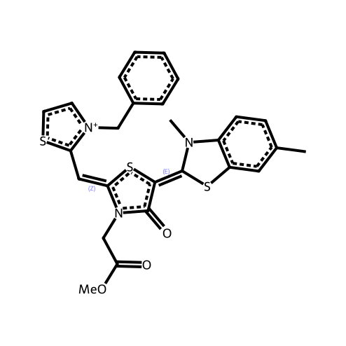 COC(=O)Cn1c(=O)/c(=C2\Sc3cc(C)ccc3N2C)s/c1=C\c1scc[n+]1Cc1ccccc1